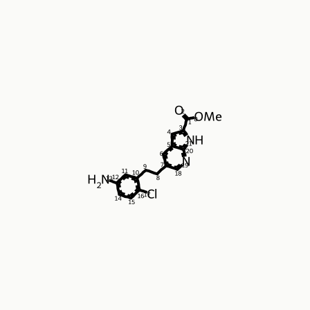 COC(=O)c1cc2cc(CCc3cc(N)ccc3Cl)cnc2[nH]1